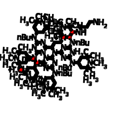 CCCCN(c1nc(C(CCNCCNCCCN)N(c2nc(N(CCCC)C3CC(C)(C)N(C)C(C)(C)C3)nc(N(CCCC)C3CC(C)(C)N(C)C(C)(C)C3)n2)c2nc(N(CCCC)C3CC(C)(C)N(C)C(C)(C)C3)nc(N(CCCC)C3CC(C)(C)N(C)C(C)(C)C3)n2)nc(N(CCCC)C2CC(C)(C)N(C)C(C)(C)C2)n1)C1CC(C)(C)N(C)C(C)(C)C1